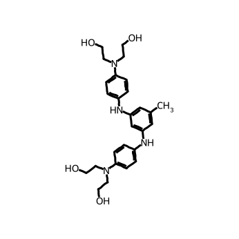 Cc1cc(Nc2ccc(N(CCO)CCO)cc2)cc(Nc2ccc(N(CCO)CCO)cc2)c1